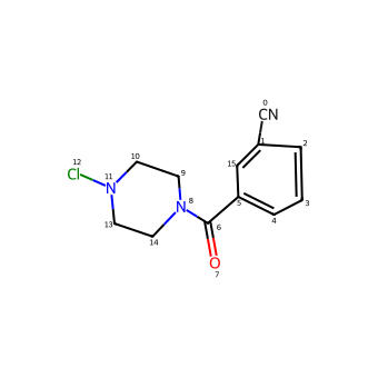 N#Cc1cccc(C(=O)N2CCN(Cl)CC2)c1